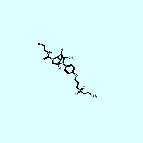 CC1C2C3[C@@H]1CN(c1ccc(OCCCS(=O)(=O)CCN)cc1)[C@@H]2CN3C(=O)NCCO